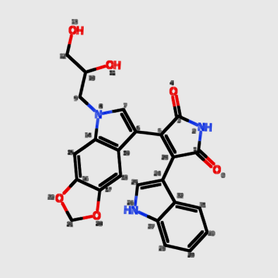 O=C1NC(=O)C(c2cn(CC(O)CO)c3cc4c(cc23)OCO4)=C1c1c[nH]c2ccccc12